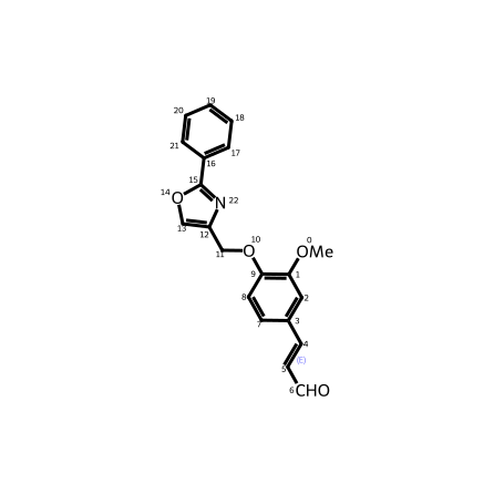 COc1cc(/C=C/C=O)ccc1OCc1coc(-c2ccccc2)n1